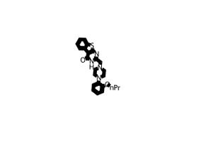 CCCOc1ccccc1N1CCN(Cc2nc3sc4ccccc4c3c(=O)[nH]2)CC1